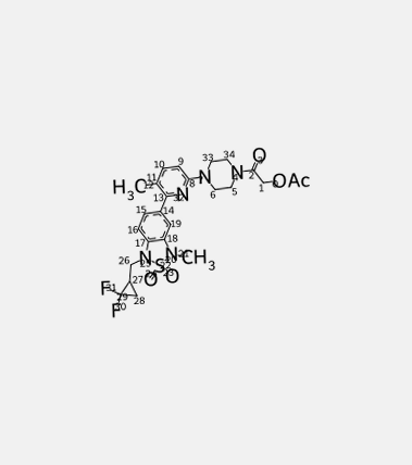 CC(=O)OCC(=O)N1CCN(c2ccc(C)c(-c3ccc4c(c3)N(C)S(=O)(=O)N4CC3CC3(F)F)n2)CC1